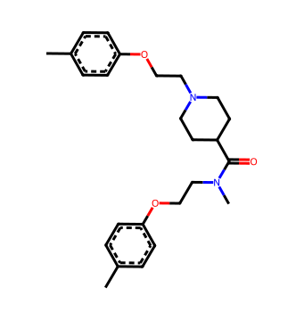 Cc1ccc(OCCN2CCC(C(=O)N(C)CCOc3ccc(C)cc3)CC2)cc1